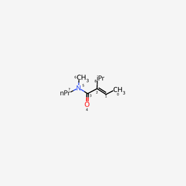 C/C=C(/C(=O)N(C)CCC)C(C)C